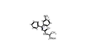 CCCCCCCCCC(C)NC(=O)/C=C(/c1ccccc1)c1cccc([N+](=O)[O-])c1